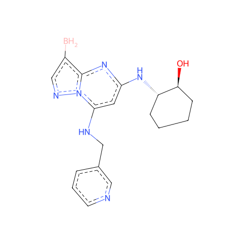 Bc1cnn2c(NCc3cccnc3)cc(N[C@H]3CCCC[C@@H]3O)nc12